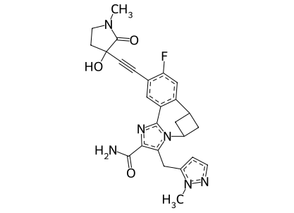 CN1CCC(O)(C#Cc2cc3c(cc2F)C2CC(C2)n2c-3nc(C(N)=O)c2Cc2ccnn2C)C1=O